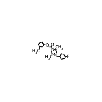 Cc1cccc(OCC(=O)N2C[C@@H](C)N(Cc3ccc(F)cc3)C[C@@H]2C)c1